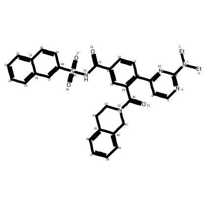 CCN(CC)c1nccc(-c2ccc(C(=O)NS(=O)(=O)c3ccc4ccccc4c3)cc2C(=O)N2CCc3ccccc3C2)n1